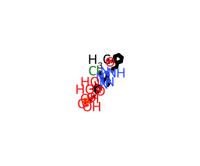 COc1ccccc1CCNc1nc(Cl)nc2c1ncn2[C@@H]1O[C@H](COCP(=O)(O)O)[C@@H](O)[C@H]1O